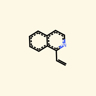 C=Cc1nccc2ccccc12